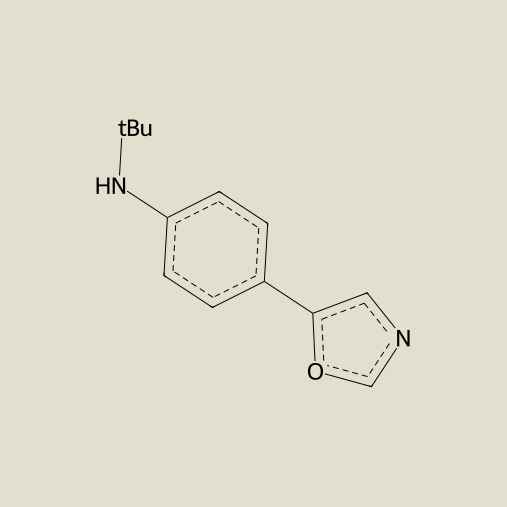 CC(C)(C)Nc1ccc(-c2cnco2)cc1